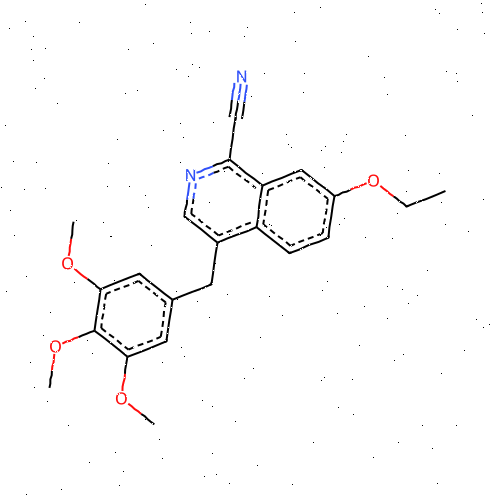 CCOc1ccc2c(Cc3cc(OC)c(OC)c(OC)c3)cnc(C#N)c2c1